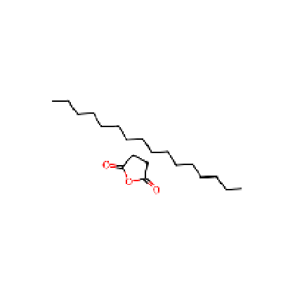 CCCCCCCCCCCCCCCC.O=C1CCC(=O)O1